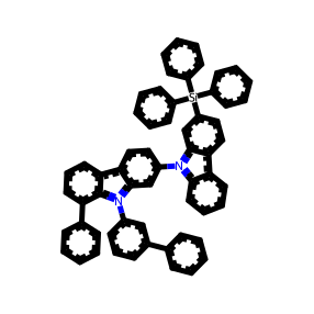 c1ccc(-c2cccc(-n3c4cc(-n5c6ccccc6c6ccc([Si](c7ccccc7)(c7ccccc7)c7ccccc7)cc65)ccc4c4cccc(-c5ccccc5)c43)c2)cc1